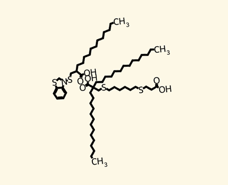 CCCCCCCCCCCCC(CSN1CSc2ccccc21)C(=O)O.CCCCCCCCCCCCCCC(CCCCCCCCCCCCCC)(CSCCCCCCSCCC(=O)O)C(=O)O